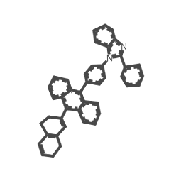 C1=CC2=C(C=C(c3c4ccccc4c(-c4ccc(-n5c(-c6ccccc6)nc6ccccc65)cc4)c4ccccc34)CC2)CC1